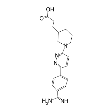 N=C(N)c1ccc(-c2ccc(N3CCCC(CCC(=O)O)C3)nn2)cc1